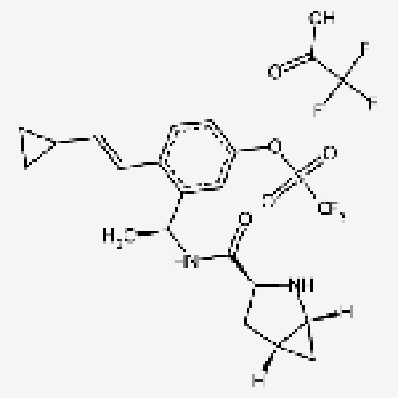 C[C@H](NC(=O)[C@@H]1C[C@H]2C[C@H]2N1)c1cc(OS(=O)(=O)C(F)(F)F)ccc1/C=C/C1CC1.O=C(O)C(F)(F)F